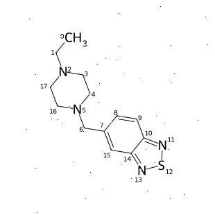 CCN1CCN(Cc2ccc3nsnc3c2)CC1